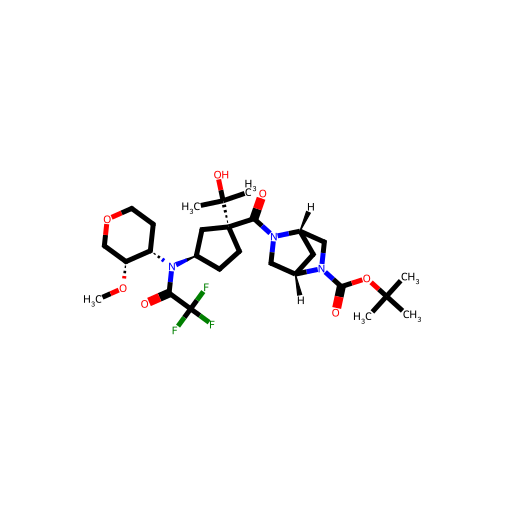 CO[C@@H]1COCC[C@@H]1N(C(=O)C(F)(F)F)[C@@H]1CC[C@@](C(=O)N2C[C@@H]3C[C@H]2CN3C(=O)OC(C)(C)C)(C(C)(C)O)C1